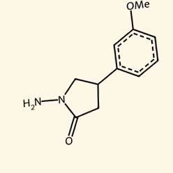 COc1cccc(C2CC(=O)N(N)C2)c1